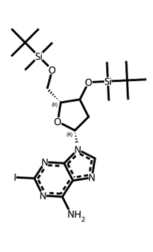 CC(C)(C)[Si](C)(C)OC[C@H]1O[C@@H](n2cnc3c(N)nc(I)nc32)CC1O[Si](C)(C)C(C)(C)C